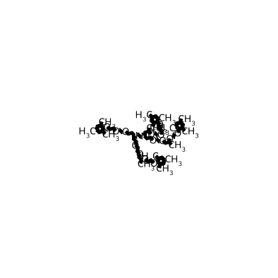 Cc1cc(C)c(OCCOCCOCCN(CCOCCOCC(C)OCCOc2c(C)cc(C)cc2C)CCN(CCOCCOCC(C)OCCOc2c(C)cc(C)cc2C)CC(C)OCCOCCOc2c(C)cc(C)cc2C)c(C)c1